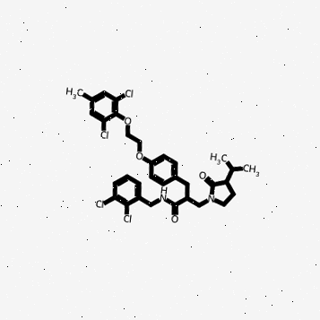 Cc1cc(Cl)c(OCCOc2ccc(CC(CN3CCC(C(C)C)C3=O)C(=O)NCc3cccc(Cl)c3Cl)cc2)c(Cl)c1